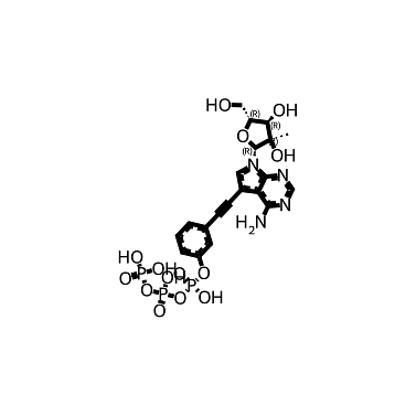 C[C@@]1(O)[C@H](O)[C@@H](CO)O[C@H]1n1cc(C#Cc2cccc(OP(=O)(O)OP(=O)(O)OP(=O)(O)O)c2)c2c(N)ncnc21